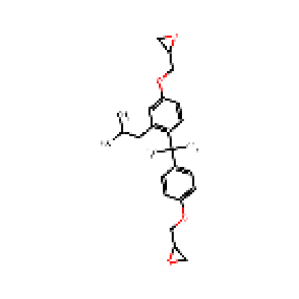 CC(Cc1cc(OCC2CO2)ccc1C(c1ccc(OCC2CO2)cc1)(C(F)(F)F)C(F)(F)F)C(F)(F)F